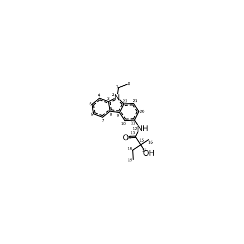 CCn1c2ccccc2c2cc(NC(=O)C(C)(O)CC)ccc21